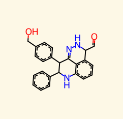 O=CC1NN=C2c3c(cccc31)NC(c1ccccc1)C2c1ccc(CO)cc1